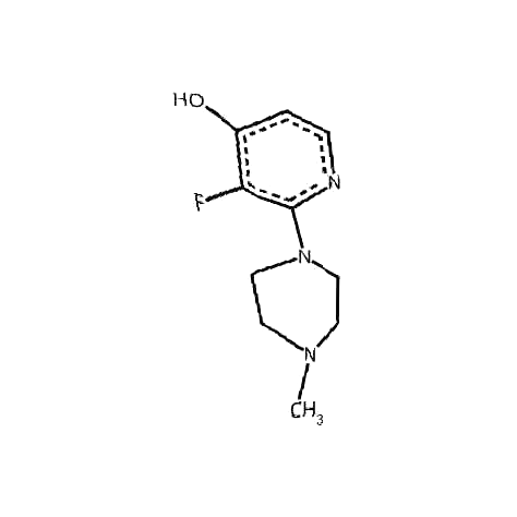 CN1CCN(c2nccc(O)c2F)CC1